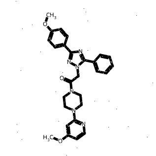 COc1ccc(-c2nc(-c3ccccc3)n(CC(=O)N3CCN(c4cc(OC)ccn4)CC3)n2)cc1